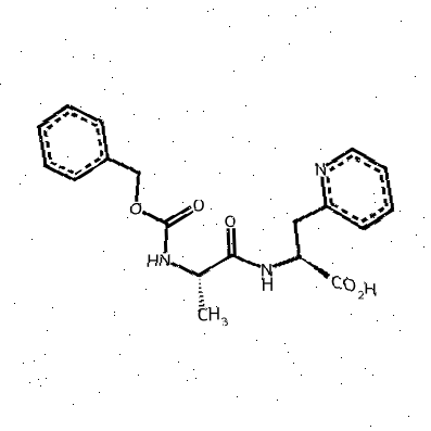 C[C@H](NC(=O)OCc1ccccc1)C(=O)N[C@@H](Cc1ccccn1)C(=O)O